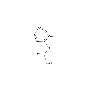 C=C(Oc1ccccc1C)C(=O)O